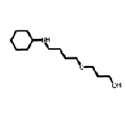 OCCCOCCCCNC1CCCCC1